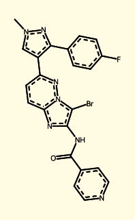 Cn1cc(-c2ccc3nc(NC(=O)c4ccncc4)c(Br)n3n2)c(-c2ccc(F)cc2)n1